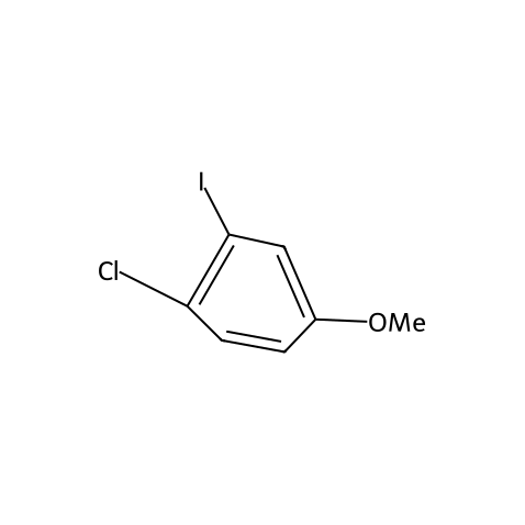 COc1ccc(Cl)c(I)c1